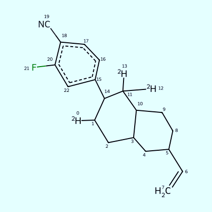 [2H]C1CC2CC(C=C)CCC2C([2H])([2H])C1c1ccc(C#N)c(F)c1